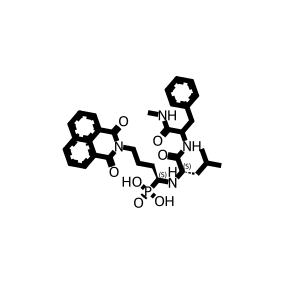 CNC(=O)C(Cc1ccccc1)NC(=O)[C@H](CC(C)C)N[C@H](CCCN1C(=O)c2cccc3cccc(c23)C1=O)P(=O)(O)O